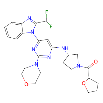 O=C([C@@H]1CCCO1)N1CC[C@H](Nc2cc(-n3c(C(F)F)nc4ccccc43)nc(N3CCOCC3)n2)C1